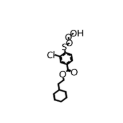 O=C(OCCC1CCCCC1)c1ccc(SOOO)c(Cl)c1